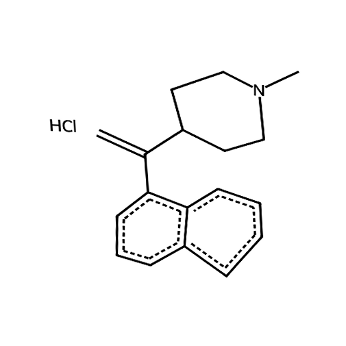 C=C(c1cccc2ccccc12)C1CCN(C)CC1.Cl